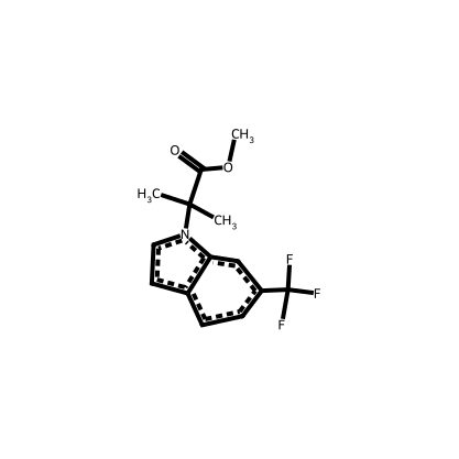 COC(=O)C(C)(C)n1ccc2ccc(C(F)(F)F)cc21